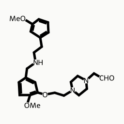 COc1cccc(CCNCc2ccc(OC)c(OCCN3CCN(CC=O)CC3)c2)c1